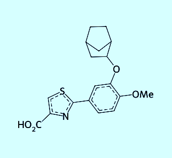 COc1ccc(-c2nc(C(=O)O)cs2)cc1OC1CC2CCC1C2